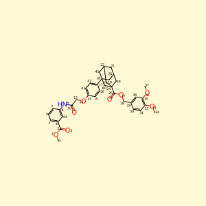 COC(=O)c1cccc(NC(=O)COc2ccc(C34CC5CC(CC(C(=O)OCc6ccc(OC)c(OC)c6)(C5)C3)C4)cc2)c1